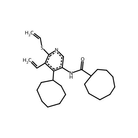 C=CSc1ncc(NC(=O)C2CCCCCCCC2)c(C2CCCCCCC2)c1C=C